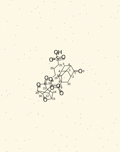 O=C1C2CC3CC1CC(C(=O)OC1C4CC5(C(=O)OCCCS(=O)(=O)O)C(=O)OC1C5O4)(C3)C2